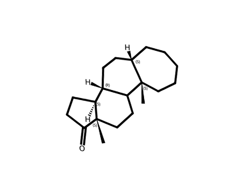 C[C@]12CCC3[C@@H](CC[C@@H]4CCCCC[C@]34C)[C@@H]1CCC2=O